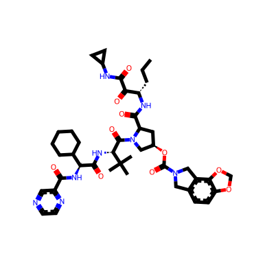 CCC[C@H](NC(=O)C1C[C@@H](OC(=O)N2Cc3ccc4c(c3C2)OCO4)CN1C(=O)[C@@H](NC(=O)[C@@H](NC(=O)c1cnccn1)C1CCCCC1)C(C)(C)C)C(=O)C(=O)NC1CC1